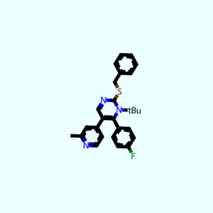 Cc1cc(C2=C(c3ccc(F)cc3)N(C(C)(C)C)C(SCc3ccccc3)N=C2)ccn1